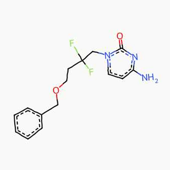 Nc1ccn(CC(F)(F)CCOCc2ccccc2)c(=O)n1